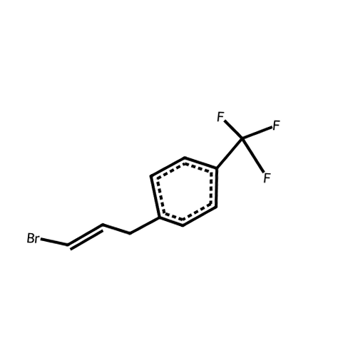 FC(F)(F)c1ccc(C/C=C/Br)cc1